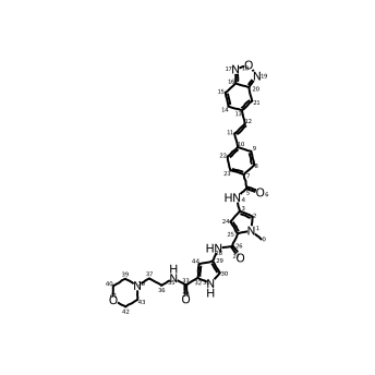 Cn1cc(NC(=O)c2ccc(/C=C/c3ccc4nonc4c3)cc2)cc1C(=O)Nc1c[nH]c(C(=O)NCCN2CCOCC2)c1